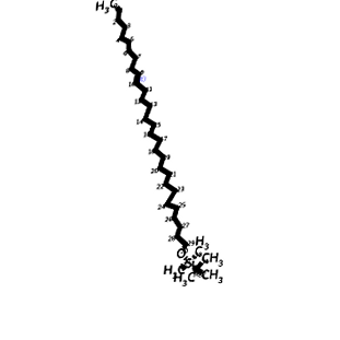 CCCCCCCCC/C=C/CCCCCCCCCCCCCCCCCCCO[Si](C)(C)C(C)(C)C